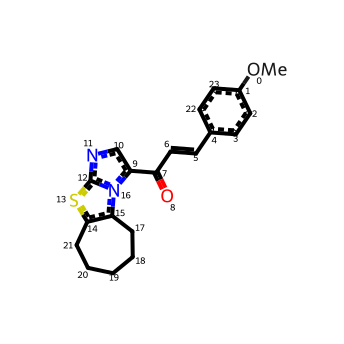 COc1ccc(/C=C/C(=O)c2cnc3sc4c(n23)CCCCC4)cc1